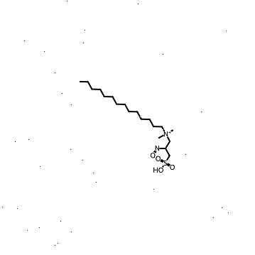 CCCCCCCCCCCCCC[N+](C)(C)CC(CS(=O)(=O)O)N=O